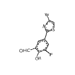 O=Cc1cc(-c2nc(Br)cs2)cc(F)c1O